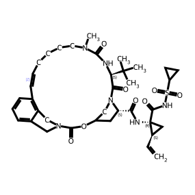 C=C[C@@H]1C[C@]1(NC(=O)[C@@H]1CC2CN1C(=O)[C@H](C(C)(C)C)NC(=O)N(C)CCCC/C=C\c1cccc3c1CN(C3)C(=O)O2)C(=O)NS(=O)(=O)C1CC1